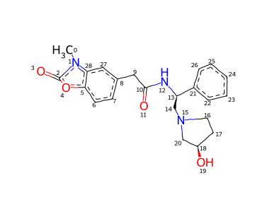 Cn1c(=O)oc2ccc(CC(=O)N[C@H](CN3CC[C@@H](O)C3)c3ccccc3)cc21